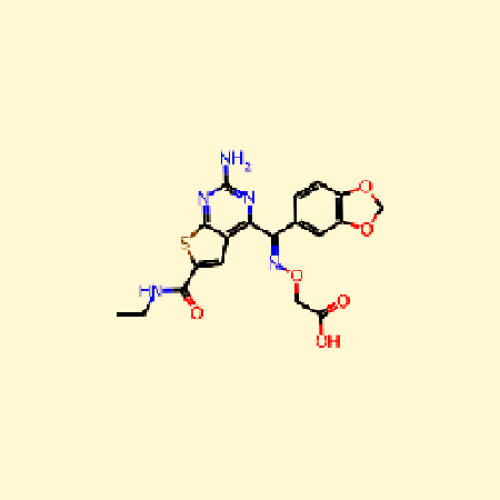 CCNC(=O)c1cc2c(C(=NOCC(=O)O)c3ccc4c(c3)OCO4)nc(N)nc2s1